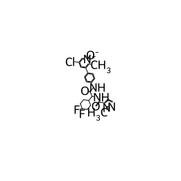 Cc1c(-c2ccc(NC(=O)[C@@H](NC(=O)c3ccnn3C)C3CCC(F)(F)CC3)cc2)cc(Cl)c[n+]1[O-]